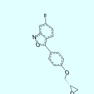 Fc1ccc2c(-c3ccc(OC[C@@H]4CO4)cc3)onc2c1